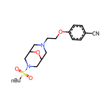 CCCCS(=O)(=O)N1CC2CN(CCOc3ccc(C#N)cc3)CC(C1)O2